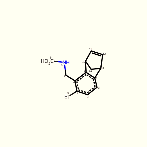 CCc1ccc2c(c1CNC(=O)O)C1C=CC2C1